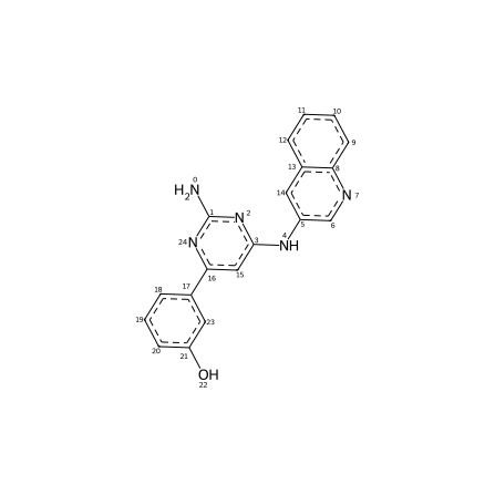 Nc1nc(Nc2cnc3ccccc3c2)cc(-c2cccc(O)c2)n1